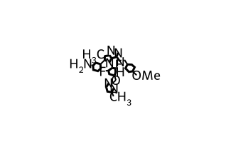 COc1ccc(CNc2ncnc3c(C)c(-c4cccc(N)c4)n(-c4c(F)cc(Oc5nccc(C)n5)cc4F)c23)cc1